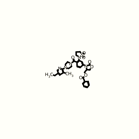 CCc1cnc(N2CCN(C(=O)c3ccc(N4C(=O)OCC4COC(=O)c4ccccc4)cc3N3CCCS3(=O)=O)CC2)c(C)c1